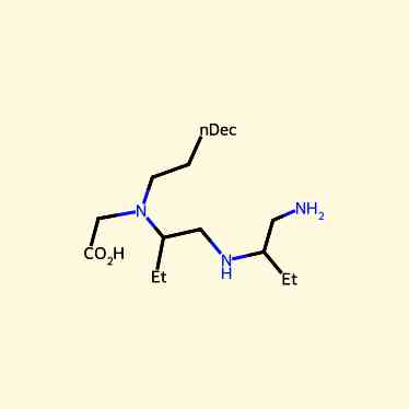 CCCCCCCCCCCCN(CC(=O)O)C(CC)CNC(CC)CN